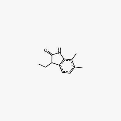 CCC1C(=O)Nc2c1ccc(C)c2C